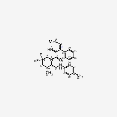 CN/C=C(\C(=N)C(=O)N1CC(F)(F)C[C@@H](C)C1CNc1ccc(C(F)(F)F)cn1)c1ccccc1